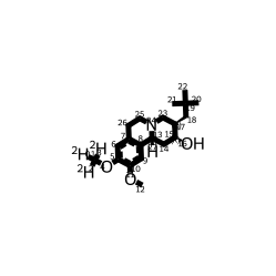 [2H]C([2H])([2H])Oc1cc2c(cc1OC)[C@H]1C[C@@H](O)[C@H](CC(C)(C)C)CN1CC2